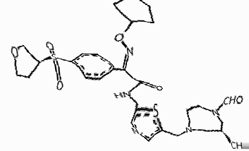 C[C@H]1CN(Cc2cnc(NC(=O)/C(=N/OC3CCCC3)c3ccc(S(=O)(=O)[C@H]4CCOC4)cc3)s2)CCN1C=O